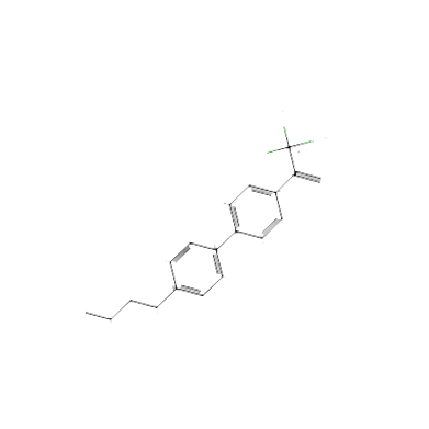 C=C(c1ccc(-c2ccc(CCCC)cc2)cc1)C(F)(F)F